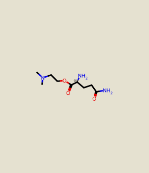 CN(C)CCOC(=O)[C@@H](N)CCC(N)=O